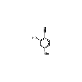 C#Cc1ccc(C(C)(C)C)cc1O